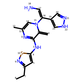 C=C1C(Nc2cc(CC)ns2)=NC(C)=CN1/C(=C\N)c1cn[nH]c1